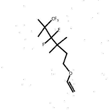 C=COCCC(C)(C)C(F)(F)C(C)(C)C(F)(F)F